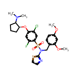 COc1ccc(CN(c2nccs2)S(=O)(=O)c2cc(Cl)c(O[C@H]3CCCC3N(C)C)cc2F)c(OC)c1